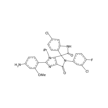 COc1cc(N)ccc1-c1nc2c(n1C(C)C)C1(C(=O)Nc3cc(Cl)ccc31)N(c1ccc(F)c(Cl)c1)C2=O